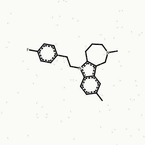 Cc1ccc2c(c1)c1c(n2CCc2ccc(F)cc2)CCCN(C)C1